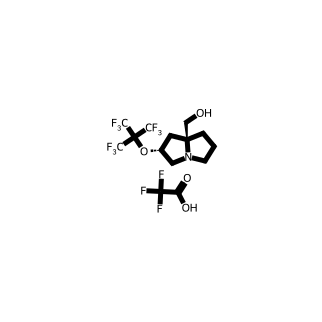 O=C(O)C(F)(F)F.OC[C@@]12CCCN1C[C@H](OC(C(F)(F)F)(C(F)(F)F)C(F)(F)F)C2